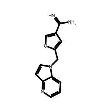 N=C(N)c1coc(Cn2ccc3ncccc32)c1